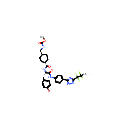 CC(C)(C)OC(=O)NC[C@H]1CC[C@H](C(=O)N[C@@H](Cc2ccc(Br)cc2)C(=O)Nc2ccc(-c3nc(C(F)(F)C(F)(F)C(=O)O)n[nH]3)cc2)CC1